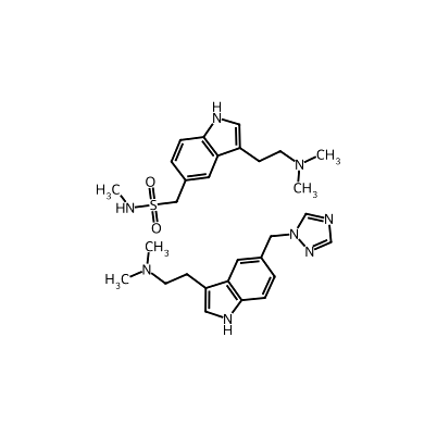 CN(C)CCc1c[nH]c2ccc(Cn3cncn3)cc12.CNS(=O)(=O)Cc1ccc2[nH]cc(CCN(C)C)c2c1